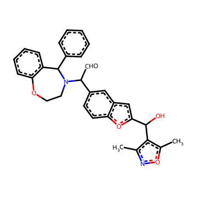 Cc1noc(C)c1C(O)c1cc2cc(C(C=O)N3CCOc4ccccc4C3c3ccccc3)ccc2o1